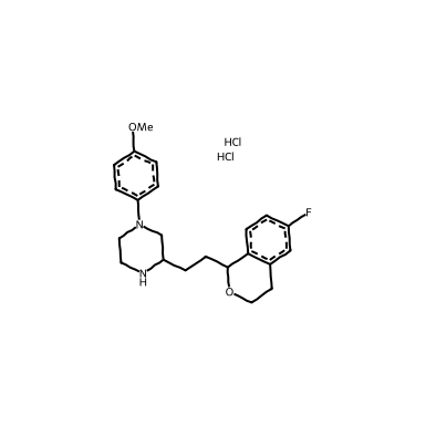 COc1ccc(N2CCNC(CCC3OCCc4cc(F)ccc43)C2)cc1.Cl.Cl